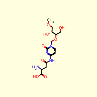 COC[C@@H](O)C(CO)OCn1ccc(NC(=O)CC(N)C(=O)O)nc1=O